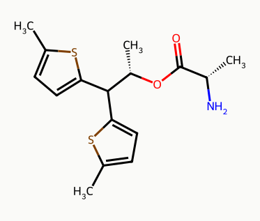 Cc1ccc(C(c2ccc(C)s2)[C@H](C)OC(=O)[C@H](C)N)s1